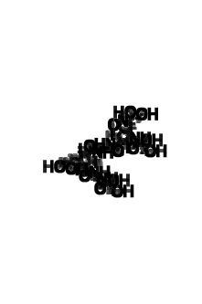 CN(CC(O)CO)C(=O)c1c(I)c(NC(=O)C(O)CO)c(I)c(C(=O)NCCNC(=O)c2c(I)c(C[C@@H](O)CO)c(I)c(C(=O)NCNC(=O)C(O)CO)c2I)c1I